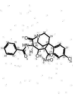 COC(=O)C1C(C)[C@@H](NC(=O)c2ccccc2)C(=O)N2CCC1(c1ccc(Cl)cc1)CC2